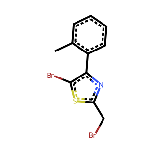 Cc1ccccc1-c1nc(CBr)sc1Br